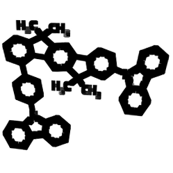 CC1(C)c2cc(-n3c4ccccc4c4ccccc43)ccc2-c2cc3c(cc21)-c1c(-c2ccc(-n4c5ccccc5c5ccccc54)cc2)cccc1C3(C)C